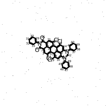 O=C1c2cc(Cl)c3c4c(Cl)cc5c6c(cc(Cl)c(c7c(Cl)cc(c2c37)C(=O)N1c1ccccc1)c64)N(c1ccccc1)CN5c1ccccc1